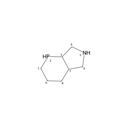 C1CPC2CNCC2C1